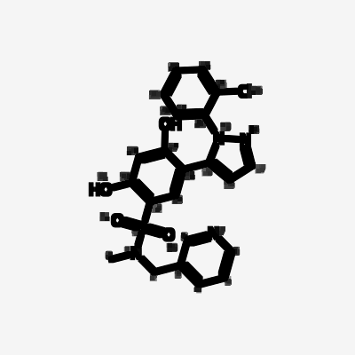 CN(Cc1cccnc1)S(=O)(=O)c1cc(-c2ccnn2-c2ccccc2Cl)c(O)cc1O